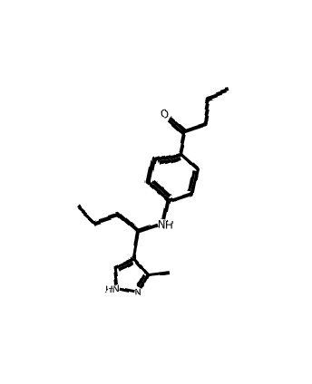 CCCC(=O)c1ccc(NC(CCC)c2c[nH]nc2C)cc1